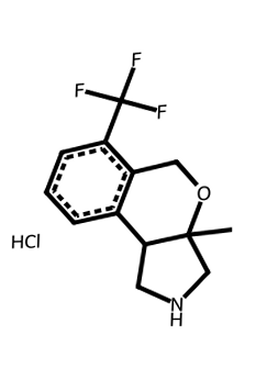 CC12CNCC1c1cccc(C(F)(F)F)c1CO2.Cl